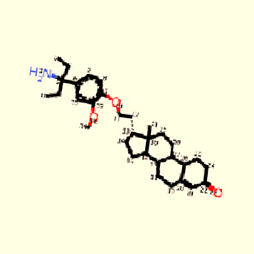 CCC(N)(CC)c1ccc(OCC[C@H]2CCC3C4CCC5=CC(=O)CCC5C4CCC32C)c(OC)c1